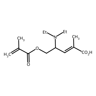 C=C(C)C(=O)OCC(C=C(C)C(=O)O)N(CC)CC